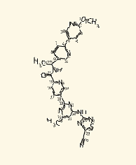 COc1ccc(-c2ccc(C(C)NC(=O)c3ccc(-c4nc(C)cc(Nc5nsc(C#N)n5)n4)cn3)cn2)cn1